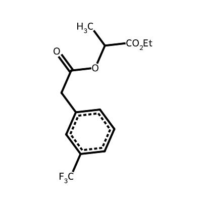 CCOC(=O)C(C)OC(=O)Cc1cccc(C(F)(F)F)c1